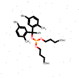 CCCCCCCCCCCCCOP(OCCCCCCCCCCCCC)OC(CCC)(c1cc(C(C)(C)C)ccc1C)c1cc(C(C)(C)C)ccc1C